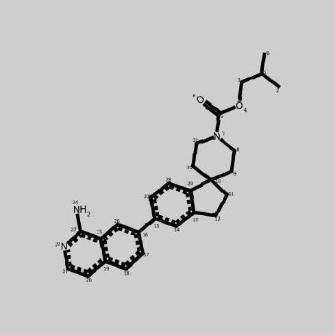 CC(C)COC(=O)N1CCC2(CCc3cc(-c4ccc5ccnc(N)c5c4)ccc32)CC1